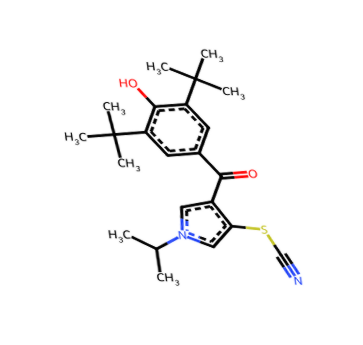 CC(C)n1cc(SC#N)c(C(=O)c2cc(C(C)(C)C)c(O)c(C(C)(C)C)c2)c1